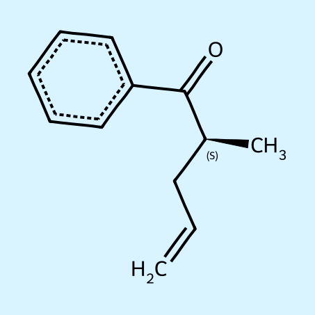 C=CC[C@H](C)C(=O)c1ccccc1